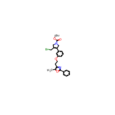 Cc1oc(-c2ccccc2)nc1CCOc1cccc(C2=C(CBr)CN(C(=O)OC(C)(C)C)C2)c1